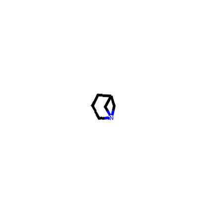 [CH]1CC2CN(C1)C2